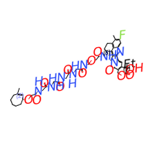 CC[C@@]1(O)C(=O)OCc2c1cc1n(c2=O)Cc2c-1nc1cc(F)c(C)c3c1c2[C@@H](NC(=O)COCNC(=O)CNC(=O)CNC(=O)CNC(=O)CNC(=O)COC1/C=C(/C)CCCCC1)CC3